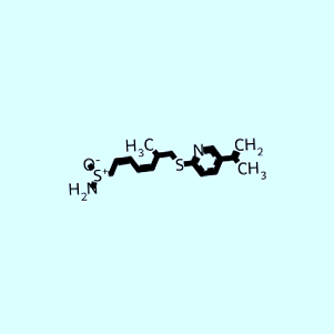 C=C(C)c1ccc(SCC(C)/C=C\C=C/C[S+](N)[O-])nc1